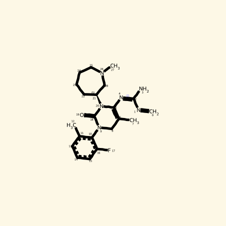 C=N/C(N)=N\C1=C(C)CN(c2c(C)cccc2F)C(=O)N1[C@H]1CCCCN(C)C1